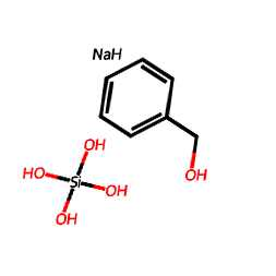 OCc1ccccc1.O[Si](O)(O)O.[NaH]